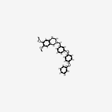 COc1cc2c(cc1OC)CN(Cc1cccc(Oc3ccc(Oc4ccccc4)cc3)c1)CC2